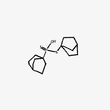 OP(=S)(SC12CCC(CC1)C2)C12CCC(CC1)C2